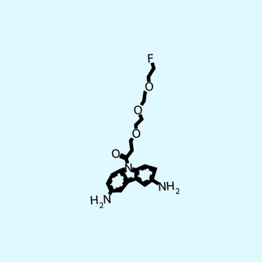 Nc1ccc2c(c1)c1cc(N)ccc1n2C(=O)CCOCCOCCOCCF